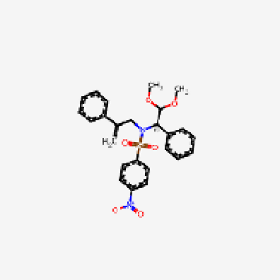 C=C(CN([C@H](c1ccccc1)C(OC)OC)S(=O)(=O)c1ccc([N+](=O)[O-])cc1)c1ccccc1